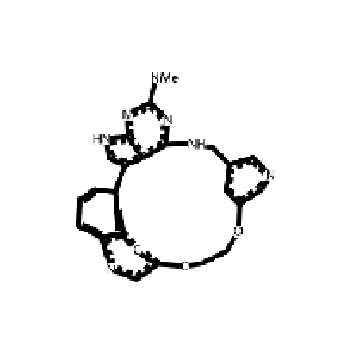 CNc1nc2c3c(c[nH]c3n1)C1C=CC=c3ncc(cc3=C1)CCCOc1cncc(c1)CN2